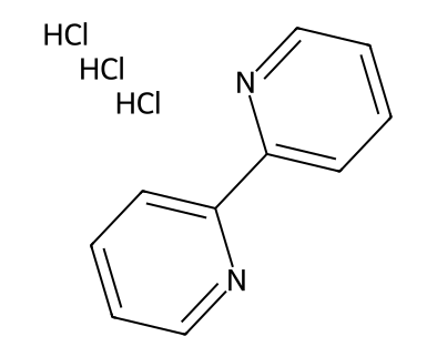 Cl.Cl.Cl.c1ccc(-c2ccccn2)nc1